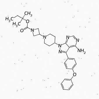 CCC(C)(C)OC(=O)N1CC(N2CCC(n3nc(-c4ccc(Oc5ccccc5)cc4)c4c(N)ncnc43)CC2)C1